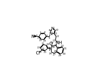 N#Cc1ccc(Cn2cncc2CCNC2C(=O)N(c3cccc(Cl)c3)CCc3ccccc32)cc1